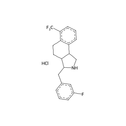 Cl.Fc1cccc(CC2NCC3c4cccc(C(F)(F)F)c4CCC23)c1